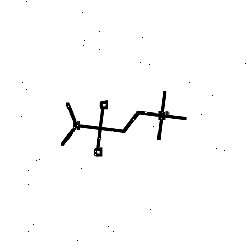 CN(C)C(Cl)(Cl)CC[N+](C)(C)C